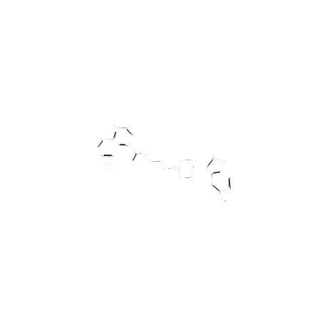 COc1ccc2nccc(C(=O)NCCCN3CCC(c4c[nH]c5ccc(C#N)cc45)CC3)c2c1